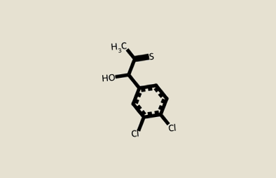 CC(=S)C(O)c1ccc(Cl)c(Cl)c1